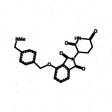 CNCc1ccc(COc2cccc3c2C(=O)N(C2CCC(=O)NC2=O)C3=O)cc1